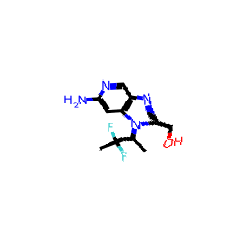 CC(n1c(CO)nc2cnc(N)cc21)C(C)(F)F